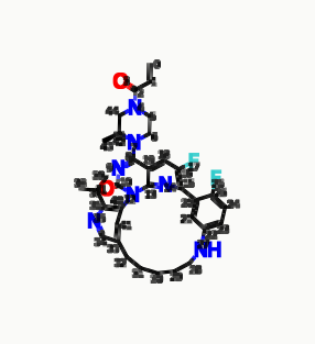 C=CC(=O)N1CCN(c2nc(=O)n3c4nc(c(F)cc24)-c2cc(ccc2F)NCCCCCc2cnc(C(C)C)c-3c2)[C@@H](C)C1